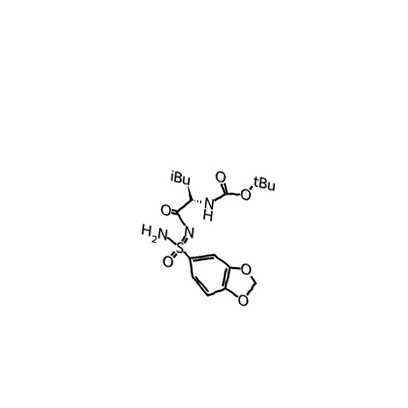 CC[C@H](C)[C@H](NC(=O)OC(C)(C)C)C(=O)N=S(N)(=O)c1ccc2c(c1)OCO2